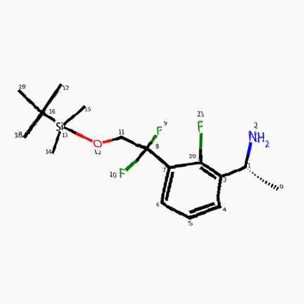 C[C@@H](N)c1cccc(C(F)(F)CO[Si](C)(C)C(C)(C)C)c1F